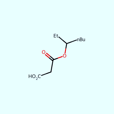 CCCCC(CC)OC(=O)CC(=O)O